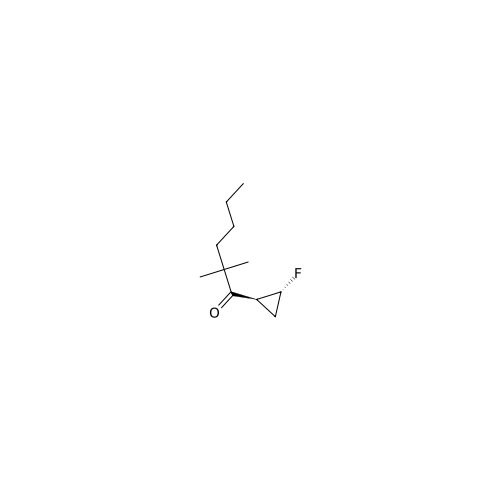 CCCCC(C)(C)C(=O)[C@@H]1C[C@H]1F